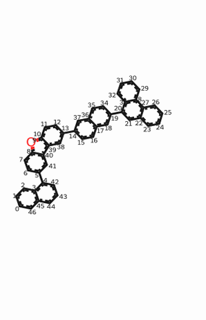 c1ccc2c(-c3ccc4oc5ccc(-c6ccc7cc(-c8cc9ccccc9c9ccccc89)ccc7c6)cc5c4c3)cccc2c1